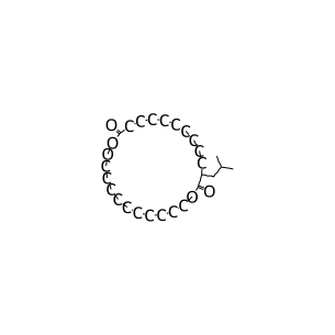 CC(C)CC1CCCCCCCCCC(=O)OOCCCCCCCCCCOC1=O